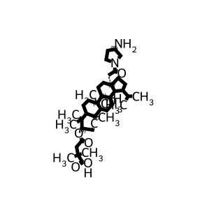 CC(C)C1CC[C@]2(CC(=O)N3CC[C@@H](N)C3)CC[C@]3(C)[C@H](CCC4[C@@]5(C)CC[C@H](OC(=O)CC(C)(C)C(=O)O)C(C)(C)C5CC[C@]43C)C12